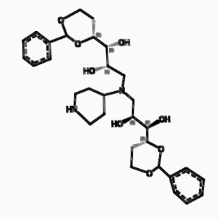 O[C@H]([C@@H](O)CN(C[C@H](O)[C@@H](O)[C@H]1CCOC(c2ccccc2)O1)C1CCNCC1)[C@H]1CCOC(c2ccccc2)O1